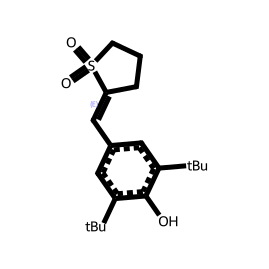 CC(C)(C)c1cc(/C=C2\CCCS2(=O)=O)cc(C(C)(C)C)c1O